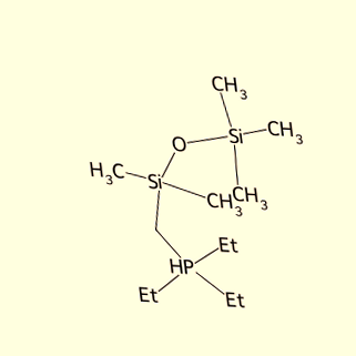 CC[PH](CC)(CC)C[Si](C)(C)O[Si](C)(C)C